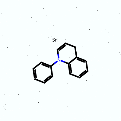 C1=CN(c2ccccc2)c2ccccc2C1.[Sn]